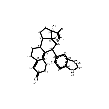 C=C(C)[C@]1(C)CCC2C3CCC4=CC(=O)CCC4=C3C(c3ccc4c(c3)OCO4)CC21O